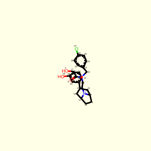 O=C(CO)N(CCN1C2CCC1CC(c1cccc(O)c1)C2)Cc1ccc(Cl)cc1